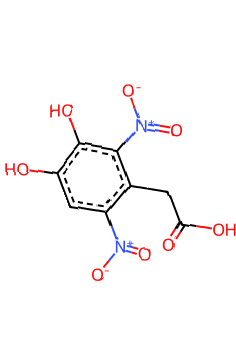 O=C(O)Cc1c([N+](=O)[O-])cc(O)c(O)c1[N+](=O)[O-]